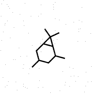 CC1CC(C)C2C(C1)C2(C)C